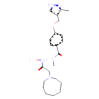 Cc1n[nH]cc1COc1ccc(C(=O)NC[C@@H](C(=O)NO)N2CCCCCCC2)cc1